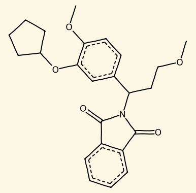 COCCC(c1ccc(OC)c(OC2CCCC2)c1)N1C(=O)c2ccccc2C1=O